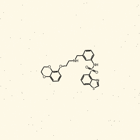 O=S(=O)(Nc1cccc(CNCCOc2cccc3c2OCCO3)c1)c1cccc2scnc12